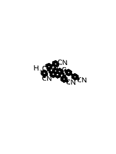 Cc1ccc(-c2ccc(C#N)cc2)cc1N(c1cccc(C#N)c1)c1ccc2ccc3c(N(c4cccc(C#N)c4)c4cc(-c5ccc(C#N)cc5)ccc4C)ccc4ccc1c2c43